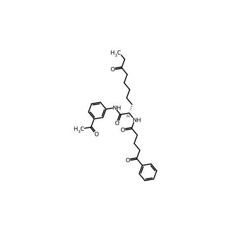 CCC(=O)CCCCC[C@H](NC(=O)CCCC(=O)c1ccccc1)C(=O)Nc1cccc(C(C)=O)c1